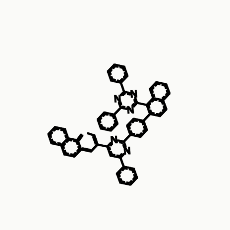 C=c1/c(=C\C(=C/C)c2cc(-c3ccccc3)nc(-c3ccc(-c4ccc5ccccc5c4-c4nc(-c5ccccc5)nc(-c5ccccc5)n4)cc3)n2)ccc2ccccc12